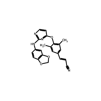 Cc1cc(/C=C/C#N)cc(C)c1Oc1ccnc(Nc2ccc3c(c2)OCO3)n1